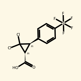 O=C(O)[C@H]1[C@H](c2ccc(S(F)(F)(F)(F)F)cc2)C1(Cl)Cl